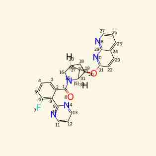 O=C(c1cccc(F)c1-c1ncccn1)N1C[C@H]2C[C@@H](Oc3ccc4cccnc4n3)[C@@H]1C2